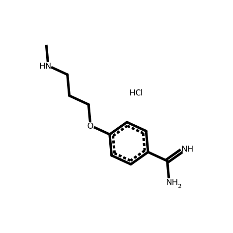 CNCCCOc1ccc(C(=N)N)cc1.Cl